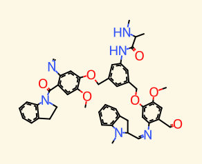 C=Nc1cc(OCc2cc(COc3cc(/N=C\C4Cc5ccccc5N4C)c(C=O)cc3OC)cc(NC(=O)C(C)NC)c2)c(OC)cc1C(=O)N1CCc2ccccc21